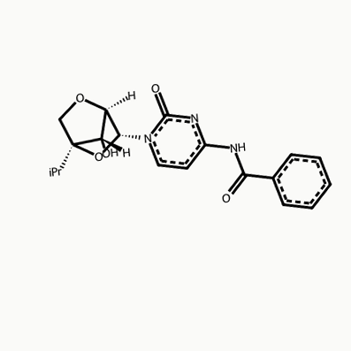 CC(C)[C@@]12CO[C@@H]([C@H](n3ccc(NC(=O)c4ccccc4)nc3=O)O1)[C@@H]2O